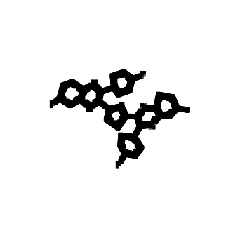 Cc1ccc2nc(-c3ccc(-c4nc5cc(F)ccc5nc4-c4ccc(F)cc4)s3)c(-c3ccc(F)cc3)nc2c1